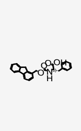 O=C(N[C@@H](Cc1ccccc1)C(=O)O)OCc1cccc2c1Cc1ccccc1-2